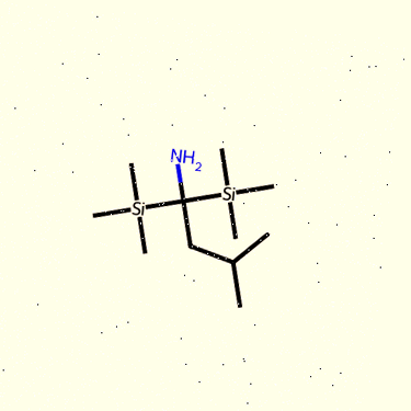 CC(C)CC(N)([Si](C)(C)C)[Si](C)(C)C